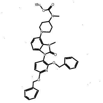 CN(C(=O)OC(C)(C)C)C1CCN(c2cccc3c2n(C)c(=O)n3-c2ccc(OCc3ccccc3)nc2OCc2ccccc2)CC1